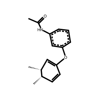 CC(=O)Nc1cccc(OC2=C[C@@H](C)[C@@H](C)C=C2)c1